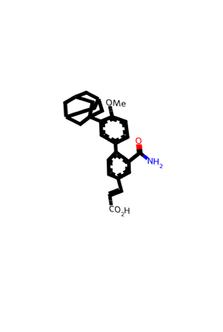 COc1ccc(-c2ccc(C=CC(=O)O)cc2C(N)=O)cc1C12CC3CC(CC(C3)C1)C2